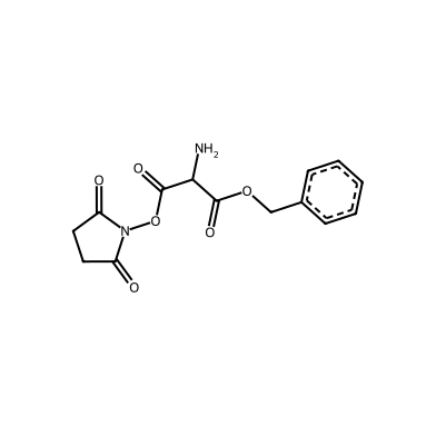 NC(C(=O)OCc1ccccc1)C(=O)ON1C(=O)CCC1=O